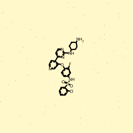 NC1CCC(Nc2nccc(-c3ccncc3Oc3ccc(NS(=O)(=O)c4ccccc4Cl)cc3F)n2)CC1